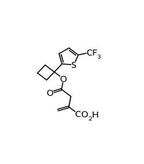 C=C(CC(=O)OC1(c2ccc(C(F)(F)F)s2)CCC1)C(=O)O